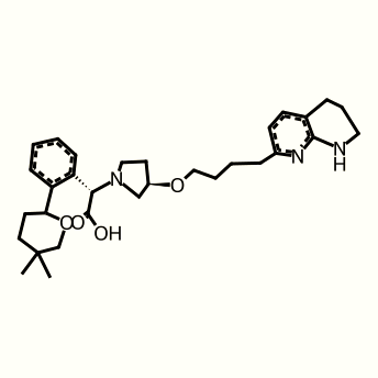 CC1(C)CCC(c2ccccc2[C@@H](C(=O)O)N2CC[C@@H](OCCCCc3ccc4c(n3)NCCC4)C2)OC1